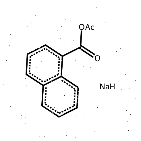 CC(=O)OC(=O)c1cccc2ccccc12.[NaH]